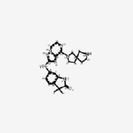 CC1(C)C(=O)Nc2cc(Nc3nc4c(N5CCC6(CCNC6)C5)nccn4n3)ccc21